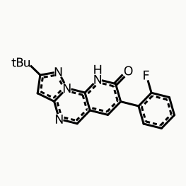 CC(C)(C)c1cc2ncc3cc(-c4ccccc4F)c(=O)[nH]c3n2n1